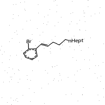 CCCCCCCCCCC=Cc1ccccc1Br